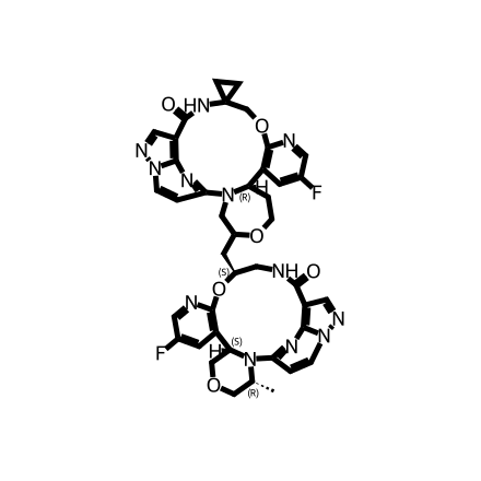 C[C@@H]1COC[C@@H]2c3cc(F)cnc3O[C@@H](CC3CN4c5ccn6ncc(c6n5)C(=O)NC5(CC5)COc5ncc(F)cc5[C@H]4CCO3)CNC(=O)c3cnn4ccc(nc34)N12